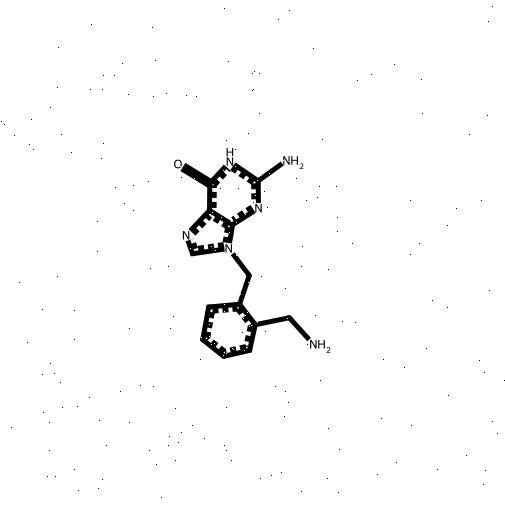 NCc1ccccc1Cn1cnc2c(=O)[nH]c(N)nc21